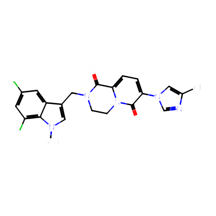 Cc1cn(-c2ccc3n(c2=O)CCN(Cc2cn(C)c4c(Cl)cc(Cl)cc24)C3=O)cn1